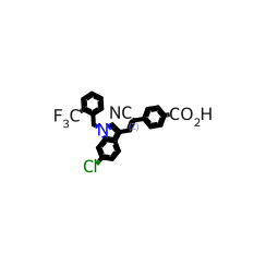 N#C/C(=C\c1cn(Cc2ccccc2C(F)(F)F)c2cc(Cl)ccc12)c1ccc(C(=O)O)cc1